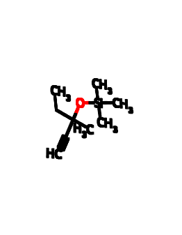 C#CC(C)(CC)O[Si](C)(C)C